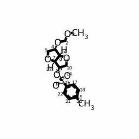 COCO[C@@H]1CO[C@H]2[C@@H]1OC[C@H]2OS(=O)(=O)c1ccc(C)cc1